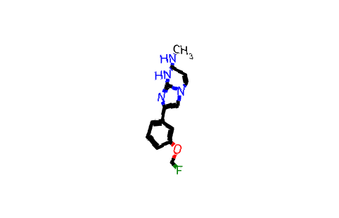 CNC1C=Cn2cc(-c3cccc(OCF)c3)nc2N1